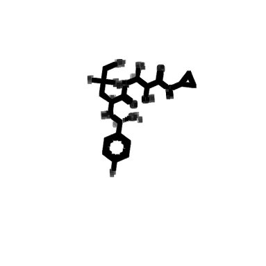 CC[C@H](NC(=O)[C@H](CC(F)(F)CC(C)C)N[C@@H](c1ccc(F)cc1)C(F)(F)F)C(O)C(=O)NC1CC1